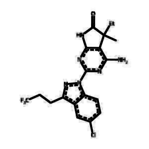 CCC1(C)C(=O)Nc2nc(-n3nc(CCC(F)(F)F)c4cc(Cl)ccc43)nc(N)c21